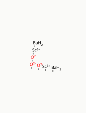 [BaH2].[BaH2].[O-2].[O-2].[O-2].[Sc+3].[Sc+3]